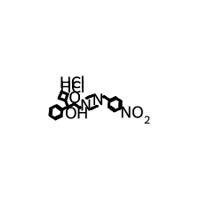 Cl.Cl.O=C(CN1CCN(Cc2ccc([N+](=O)[O-])cc2)CC1)C(O)(c1ccccc1)C1CCC1